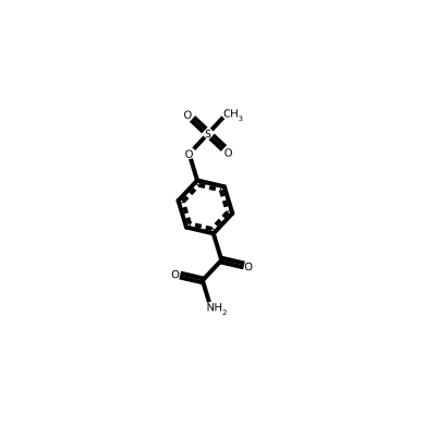 CS(=O)(=O)Oc1ccc(C(=O)C(N)=O)cc1